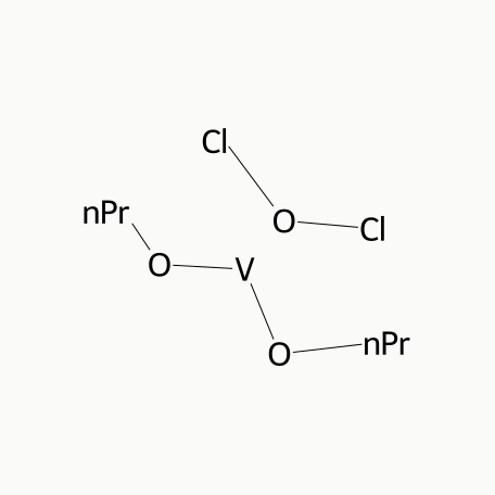 CCC[O][V][O]CCC.ClOCl